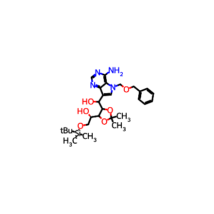 CC1(C)OC(C(O)c2cn(COCc3ccccc3)c3c(N)ncnc23)C([C@H](O)CO[Si](C)(C)C(C)(C)C)O1